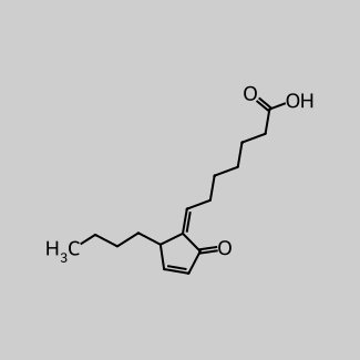 CCCCC1C=CC(=O)/C1=C\CCCCCC(=O)O